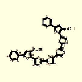 CCCCCCCCc1cc(-c2ccccc2)sc1-c1cnc(-c2ncc(-c3cnc(-c4ncc(-c5sc(-c6ccccc6)cc5CCCCCCCC)s4)s3)s2)s1